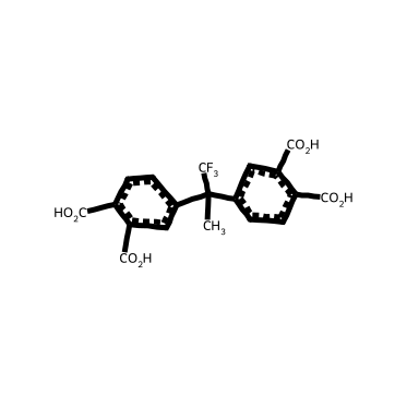 CC(c1ccc(C(=O)O)c(C(=O)O)c1)(c1ccc(C(=O)O)c(C(=O)O)c1)C(F)(F)F